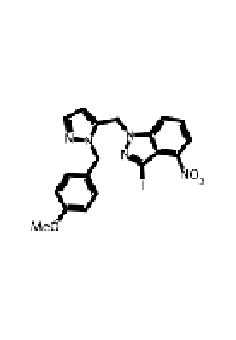 COc1ccc(Cn2nccc2Cn2nc(I)c3c([N+](=O)[O-])cccc32)cc1